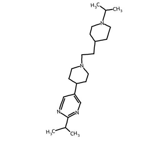 CC(C)c1ncc(C2CCN(CCC3CCN(C(C)C)CC3)CC2)cn1